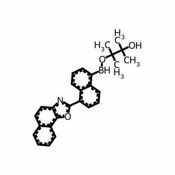 CC(C)(O)C(C)(C)OBc1cccc2c(-c3nc4ccc5ccccc5c4o3)cccc12